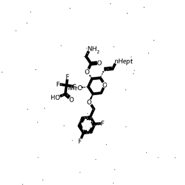 CCCCCCCC=C[C@@H]1OC[C@@H](OCc2ccc(F)cc2F)[C@H](OC)[C@@H]1OC(=O)CN.O=C(O)C(F)(F)F